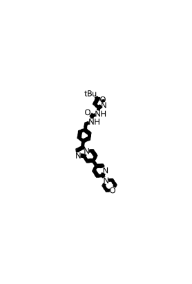 CC(C)(C)c1cc(NC(=O)NCc2ccc(-c3cnc4cc(-c5ccc(N6CCOCC6)nc5)ccn34)cc2)no1